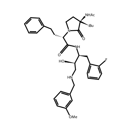 CC[C@H](C)[C@@]1(NC(C)=O)CCN([C@@H](CCc2ccccc2)C(=O)N[C@@H](Cc2ccccc2F)[C@H](O)CNCc2cccc(OC)c2)C1=O